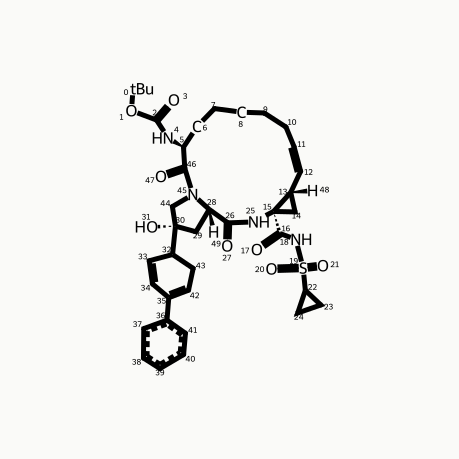 CC(C)(C)OC(=O)N[C@H]1CCCCC/C=C\[C@@H]2C[C@@]2(C(=O)NS(=O)(=O)C2CC2)NC(=O)[C@@H]2C[C@@](O)(C3C=CC(c4ccccc4)=CC3)CN2C1=O